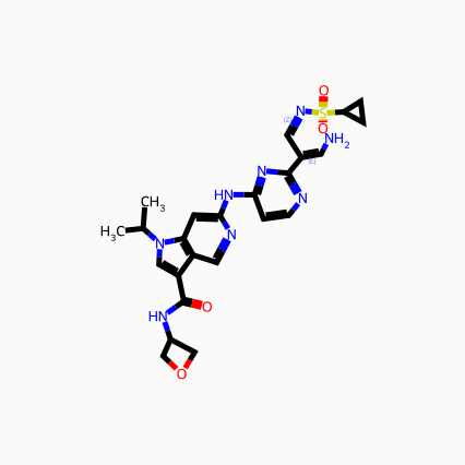 CC(C)n1cc(C(=O)NC2COC2)c2cnc(Nc3ccnc(C(/C=N\S(=O)(=O)C4CC4)=C/N)n3)cc21